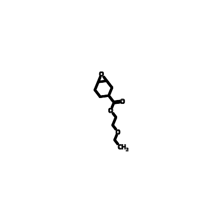 CCOCCOC(=O)C1CCC2OC2C1